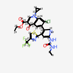 CCNC(=O)Nc1cc(-c2nc(C(F)(F)F)cs2)c(-c2cc3c(=O)c(C(=O)OCC)cn(C4CC4)c3cc2Cl)cn1